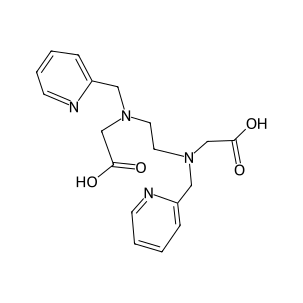 O=C(O)CN(CCN(CC(=O)O)Cc1ccccn1)Cc1ccccn1